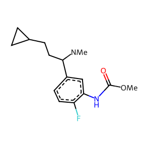 CNC(CCC1CC1)c1ccc(F)c(NC(=O)OC)c1